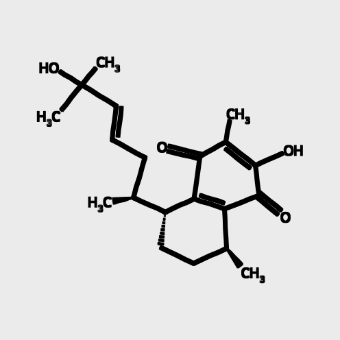 CC1=C(O)C(=O)C2=C(C1=O)[C@@H]([C@@H](C)C/C=C/C(C)(C)O)CC[C@@H]2C